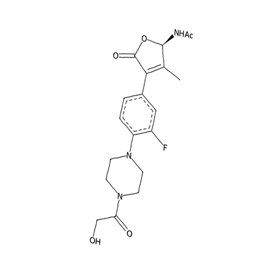 CC(=O)N[C@@H]1OC(=O)C(c2ccc(N3CCN(C(=O)CO)CC3)c(F)c2)=C1C